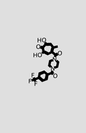 Cc1cc(O)c(=O)c(O)cc1C(=O)N1CCN(C(=O)c2ccc(C(F)(F)F)cc2)CC1